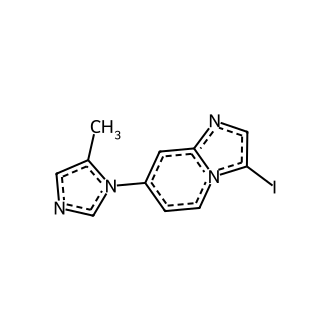 Cc1cncn1-c1ccn2c(I)cnc2c1